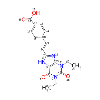 CCn1c(=O)c2[nH]c(C=Cc3ccc(C(=O)O)cc3)nc2n(CC)c1=O